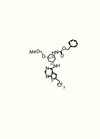 COCO[C@@H]1C[C@H](NC(=O)OCc2ccccc2)C[C@H](Nc2ncnc3sc(CC(F)(F)F)cc23)C1